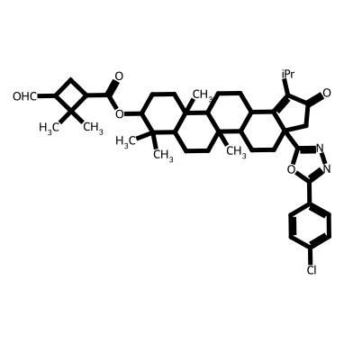 CC(C)C1=C2C3CCC4C(C)(CCC5C(C)(C)C(OC(=O)C6CC(C=O)C6(C)C)CCC54C)C3CCC2(c2nnc(-c3ccc(Cl)cc3)o2)CC1=O